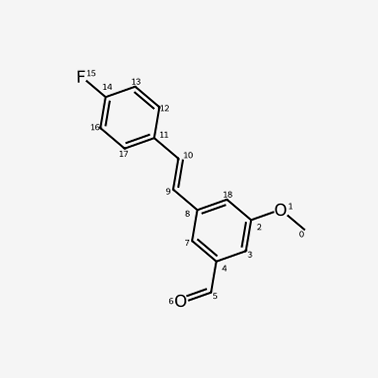 COc1cc(C=O)cc(/C=C/c2ccc(F)cc2)c1